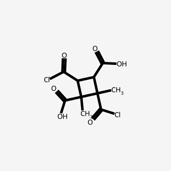 CC1(C(=O)O)C(C(=O)Cl)C(C(=O)O)C1(C)C(=O)Cl